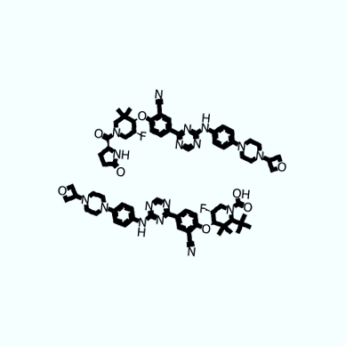 CC(C)(C)C1N(C(=O)O)C[C@@H](F)[C@@H](Oc2ccc(-c3ncnc(Nc4ccc(N5CCN(C6COC6)CC5)cc4)n3)cc2C#N)C1(C)C.CC1(C)CN(C(=O)[C@@H]2CCC(=O)N2)C[C@@H](F)[C@H]1Oc1ccc(-c2ncnc(Nc3ccc(N4CCN(C5COC5)CC4)cc3)n2)cc1C#N